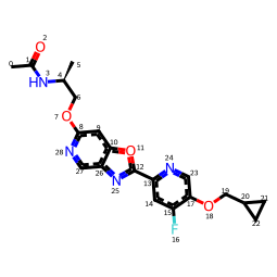 CC(=O)N[C@@H](C)COc1cc2oc(-c3cc(F)c(OCC4CC4)cn3)nc2cn1